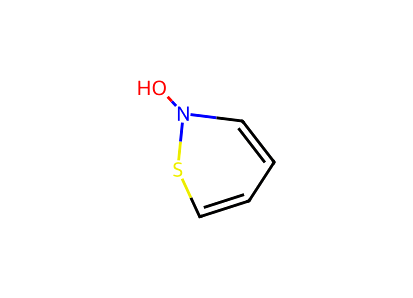 ON1C=CC=CS1